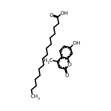 CCCCCCCCCCCCCCCC(=O)O.Cc1cc(=O)oc2cc(O)ccc12